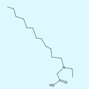 CCCCCCCCCCCCN(CC)CC(=O)O